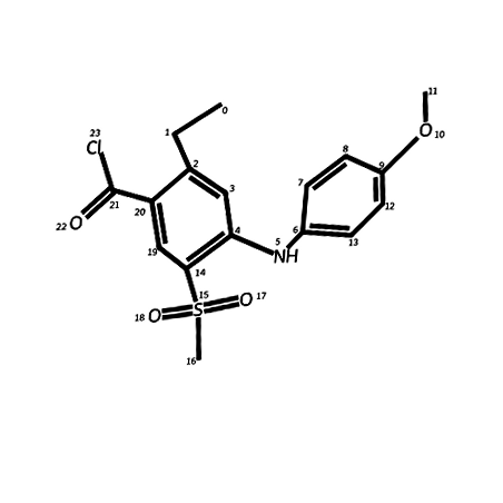 CCc1cc(Nc2ccc(OC)cc2)c(S(C)(=O)=O)cc1C(=O)Cl